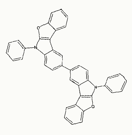 c1ccc(-n2c3ccc(-c4ccc5c(c4)c4c6ccccc6oc4n5-c4ccccc4)cc3c3c4ccccc4oc32)cc1